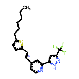 CCCCCCc1ccc(/C=C/c2ccnc(-c3cc(C(F)(F)F)n[nH]3)c2)s1